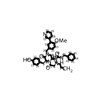 C=CCN1CC(=O)N2[C@@H](Cc3ccc(O)cc3)C(=O)N(Cc3ccc(OC)c(-c4cccnc4)c3)C[C@@H]2N1C(=O)NCc1ccccc1